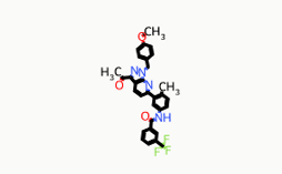 COc1ccc(Cn2nc(C(C)=O)c3ccc(-c4cc(NC(=O)c5cccc(C(F)(F)F)c5)ccc4C)nc32)cc1